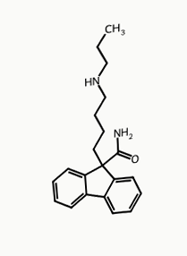 CCCNCCCCC1(C(N)=O)c2ccccc2-c2ccccc21